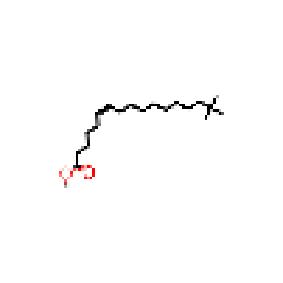 COC(=O)CCCC/C=C\CCCCCCCCC(C)(C)C